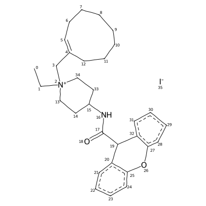 CC[N+]1(C/C2=C/CCCCCCC2)CCC(NC(=O)C2c3ccccc3Oc3ccccc32)CC1.[I-]